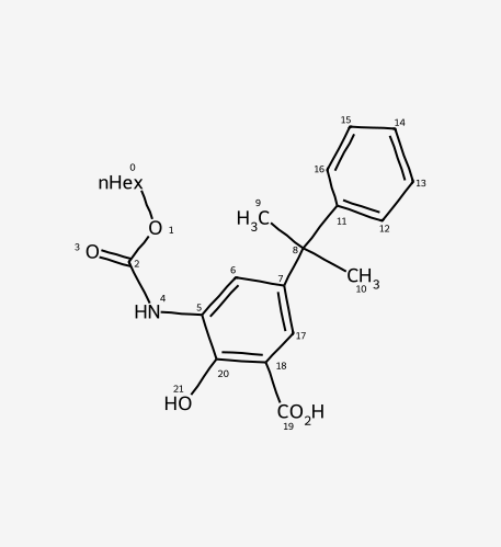 CCCCCCOC(=O)Nc1cc(C(C)(C)c2ccccc2)cc(C(=O)O)c1O